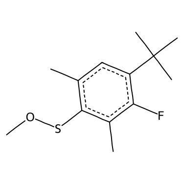 COSc1c(C)cc(C(C)(C)C)c(F)c1C